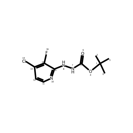 CC(C)(C)OC(=O)NNc1nccc(Cl)c1F